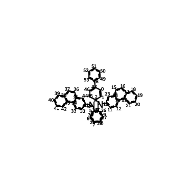 C1=CC(N(c2ccccc2)c2ccc3c(ccc4ccccc43)c2)(N(c2ccccc2)c2ccc3c(ccc4ccccc43)c2)CC=C1c1ccccc1